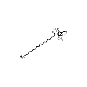 CCCCCCCCCCCCCCCCCC(=O)c1c(C)[nH]c(C=O)c1C